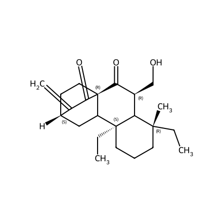 C=C1C(=O)[C@]23CC[C@H]1CC2[C@]1(CC)CCC[C@@](C)(CC)C1[C@H](CO)C3=O